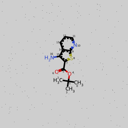 CC(C)(C)OC(=O)c1sc2ncccc2c1N